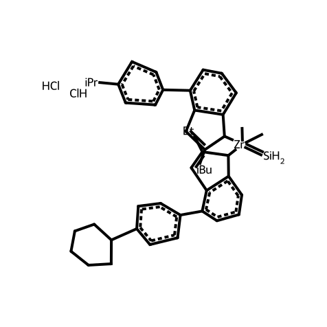 CCC1=Cc2c(-c3ccc(C4CCCCC4)cc3)cccc2[CH]1[Zr]([CH3])([CH3])(=[SiH2])[CH]1C(C(C)CC)=Cc2c(-c3ccc(C(C)C)cc3)cccc21.Cl.Cl